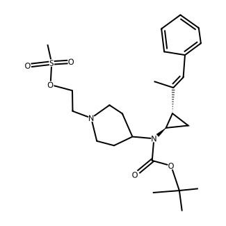 C/C(=C\c1ccccc1)[C@@H]1C[C@H]1N(C(=O)OC(C)(C)C)C1CCN(CCOS(C)(=O)=O)CC1